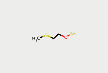 CSCCOS